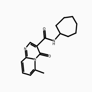 Cc1cccc2ncc(C(=O)NC3CCCCCC3)c(=O)n12